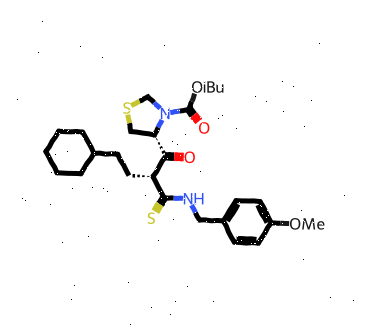 COc1ccc(CNC(=S)[C@H](CCC2CCCCC2)C(=O)[C@@H]2CSCN2C(=O)OCC(C)C)cc1